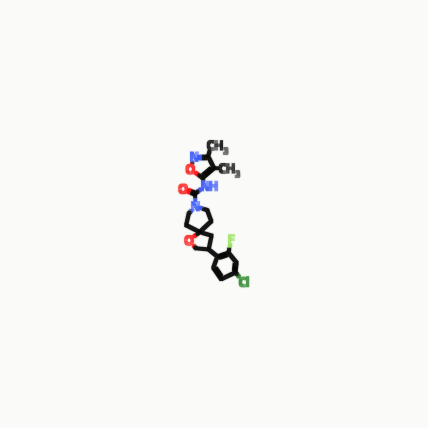 Cc1noc(NC(=O)N2CCC3(CC2)CC(c2ccc(Cl)cc2F)CO3)c1C